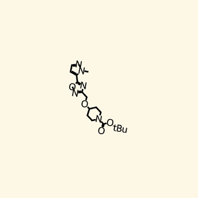 Cn1nccc1-c1nc(COC2CCN(C(=O)OC(C)(C)C)CC2)no1